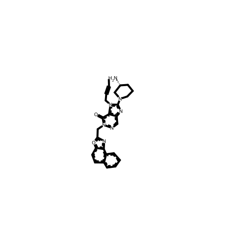 CC#CCn1c(N2CCC[C@@H](N)C2)nc2cnn(Cc3nc4c(ccc5ccccc54)o3)c(=O)c21